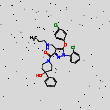 CCCNCc1c(C(=O)N2CCC(O)(c3ccccc3)CC2)nn(-c2ccccc2Cl)c1Oc1ccc(Cl)cc1